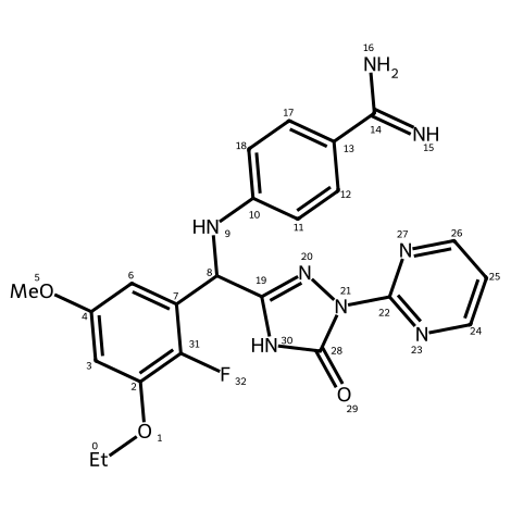 CCOc1cc(OC)cc(C(Nc2ccc(C(=N)N)cc2)c2nn(-c3ncccn3)c(=O)[nH]2)c1F